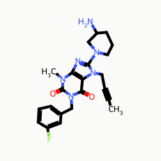 CC#CCn1c(N2CCCC(N)C2)nc2c1c(=O)n(Cc1cccc(F)c1)c(=O)n2C